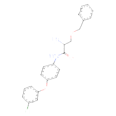 NC(COCc1ccccc1)C(=O)Nc1ccc(Oc2cccc(Cl)c2)cc1